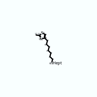 CCCCCCCCCCCCCCc1csc(C)n1